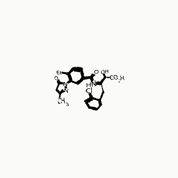 CCc1ccc(C(=O)N[C@H](Cc2ccccc2Cl)[C@@H](O)C(=O)O)cc1N1N=C(C)CC1=O